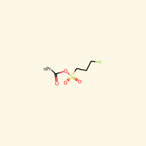 CCCC(=O)OS(=O)(=O)CCCF